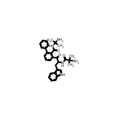 CC(C)(N)NC(=O)c1c(C(=O)C(Cc2c[nH]c3ccccc23)NC(=O)C(C)(C)N)cccc1-c1ccccc1